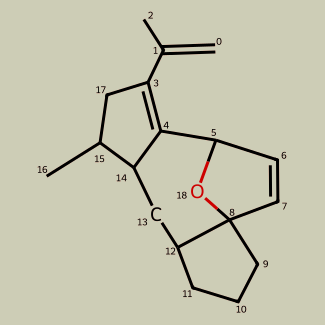 C=C(C)C1=C2C3C=CC4(CCCC4CC2C(C)C1)O3